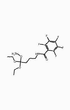 CCOC(CCCNC(=O)c1c(F)c(F)c(F)c(F)c1F)(O[SiH3])OCC